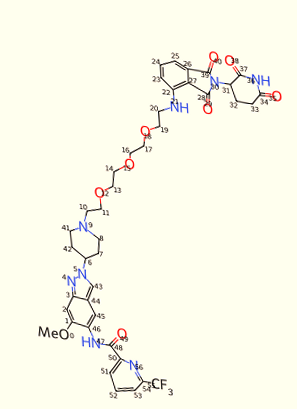 COc1cc2nn(C3CCN(CCOCCOCCOCCNc4cccc5c4C(=O)N(C4CCC(=O)NC4=O)C5=O)CC3)cc2cc1NC(=O)c1cccc(C(F)(F)F)n1